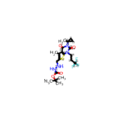 Cc1c(CNNC(=O)OC(C)(C)C)sc2c1c(=O)n(C1(C)CC1)c(=O)n2CCC(F)(F)F